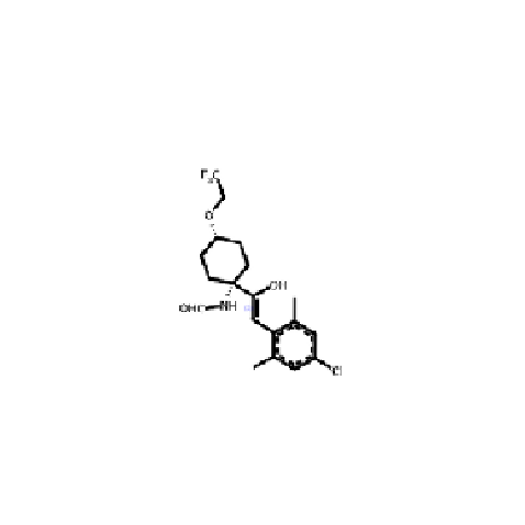 Cc1cc(Cl)cc(C)c1/C=C(\O)[C@]1(NC=O)CC[C@@H](OCC(F)(F)F)CC1